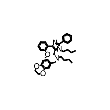 CCCCN(Cc1ccc2c(c1)OCCO2)Cc1c(-c2ccccc2OC)nc(-c2ccccc2)n1CCCC